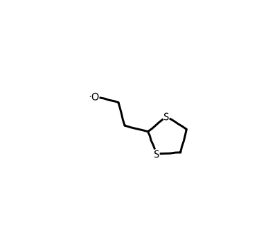 [O]CCC1SCCS1